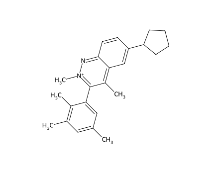 Cc1cc(C)c(C)c(-c2c(C)c3cc(C4CCCC4)ccc3n[n+]2C)c1